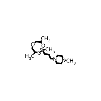 CC1COCC(C)O[Si](C)(CCCN2CCN(C)CC2)O1